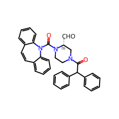 O=C[C@@H]1CN(C(=O)C(c2ccccc2)c2ccccc2)CCN1C(=O)N1c2ccccc2C=Cc2ccccc21